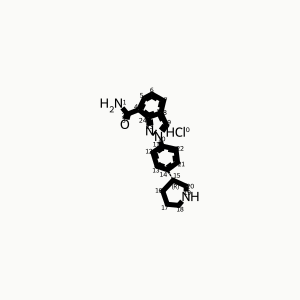 Cl.NC(=O)c1cccc2cn(-c3ccc([C@H]4CCCNC4)cc3)nc12